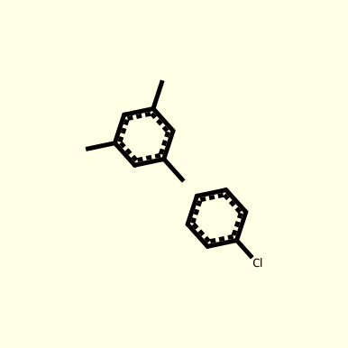 Cc1cc(C)cc(C)c1.Clc1ccccc1